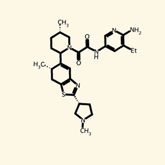 CCc1cc(NC(=O)C(=O)N2C[C@@H](C)CCC2C2=Cc3nc([C@@H]4CCN(C)C4)sc3C[C@@H]2C)cnc1N